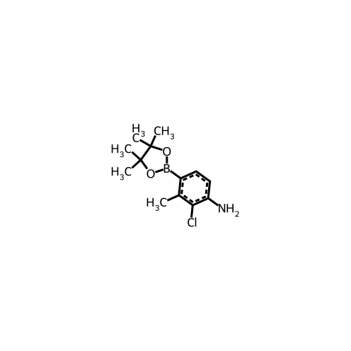 Cc1c(B2OC(C)(C)C(C)(C)O2)ccc(N)c1Cl